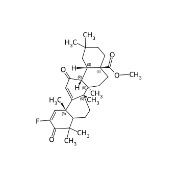 COC(=O)[C@]12CCC(C)(C)C[C@H]1[C@H]1C(=O)C=C3[C@@]4(C)C=C(F)C(=O)C(C)(C)C4CC[C@@]3(C)[C@]1(C)CC2